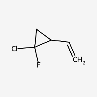 C=CC1CC1(F)Cl